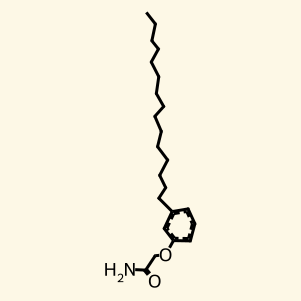 CCCCCCCCCCCCCCCc1cccc(OCC(N)=O)c1